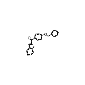 O=C(c1ccc(OCc2ccccc2)cc1)c1nc2ccccc2s1